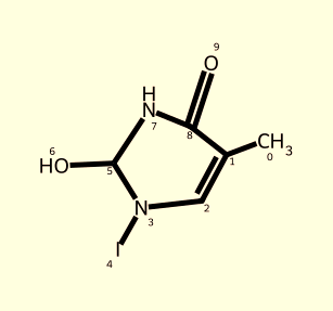 CC1=CN(I)C(O)NC1=O